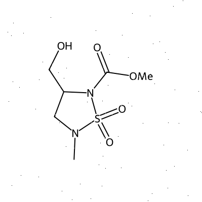 COC(=O)N1C(CO)CN(C)S1(=O)=O